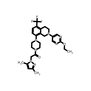 CCOc1ncc(N2CCc3c(C(F)(F)F)ccc(N4CCN(C(=O)Cn5nc(C)cc5C)CC4)c3C2)cn1